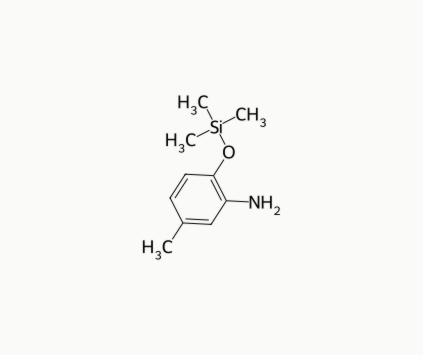 Cc1ccc(O[Si](C)(C)C)c(N)c1